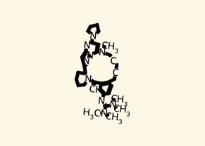 C=C1c2cc(N=C(N(C)C)N(C)C)ccc2CCCCCN(C)c2cc(N3CCCC3)nc3cc(nn23)C2CCCCN12